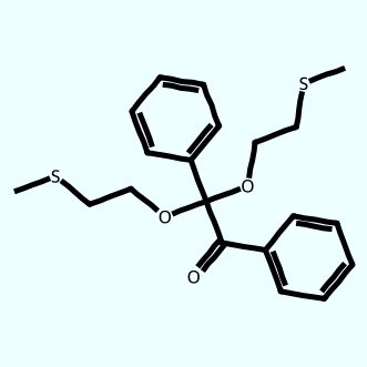 CSCCOC(OCCSC)(C(=O)c1ccccc1)c1ccccc1